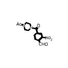 CC(=O)N1CCN(C(=O)c2ccc(C=O)c([N+](=O)[O-])c2)CC1